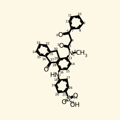 CN(C(=O)CC(=O)c1ccccc1)c1ccc(Nc2ccc(S(=O)(=O)O)cc2)c2c1Cc1ccccc1C2=O